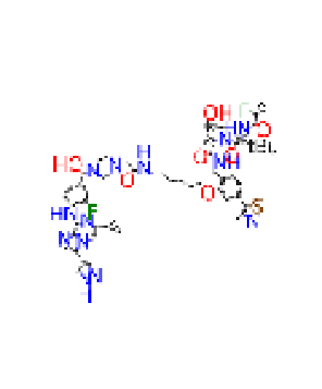 Cc1ncsc1-c1ccc(CNC(=O)[C@@H]2C[C@@H](O)CN2C(=O)[C@@H](NC(=O)C2(F)CC2)C(C)(C)C)c(OCCCCCCNC(=O)CN2CCN(C(O)c3ccc(Nc4nc(C5CC5)cn5c(-c6cn[nH]c6)cnc45)c(F)c3)CC2)c1